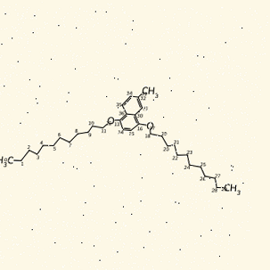 CCCCCCCCCCCCOc1ccc(OCCCCCCCCCCCC)c2cc(C)ccc12